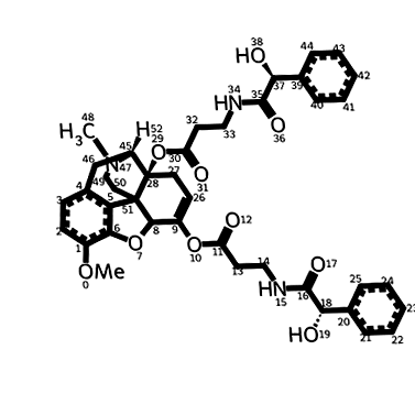 COc1ccc2c3c1OC1C(OC(=O)CCNC(=O)[C@@H](O)c4ccccc4)=CC[C@@]4(OC(=O)CCNC(=O)[C@@H](O)c5ccccc5)[C@@H](C2)N(C)CCC314